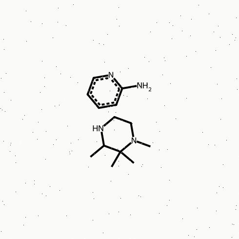 CC1NCCN(C)C1(C)C.Nc1ccccn1